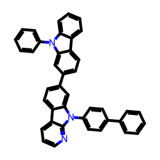 c1ccc(-c2ccc(-n3c4cc(-c5ccc6c7ccccc7n(-c7ccccc7)c6c5)ccc4c4cccnc43)cc2)cc1